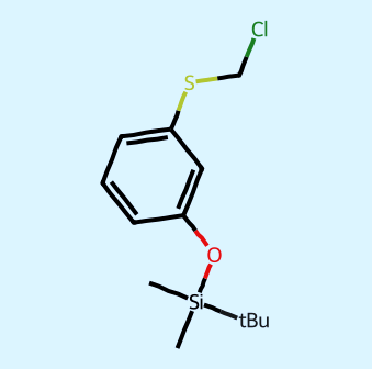 CC(C)(C)[Si](C)(C)Oc1cccc(SCCl)c1